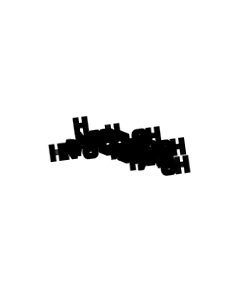 C[C@@H]1CC(C(O)C(C)(C)O)OC2[C@H]1C1(C)CCC34CC35CCC(OC(=O)NC3CNC3)C(C)(C)[C@@H]5CCC4[C@]1(C)[C@H]2O